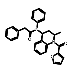 CC1CC(N(C(=O)Cc2ccccc2)c2ccccc2)c2ccccc2N1C(=O)c1ccco1